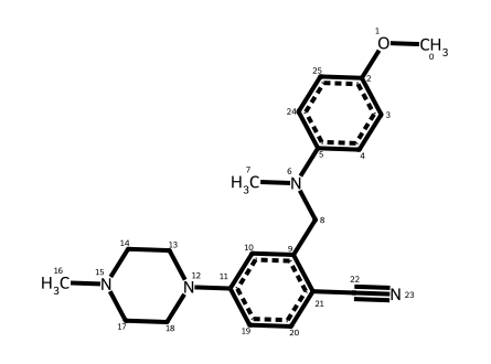 COc1ccc(N(C)Cc2cc(N3CCN(C)CC3)ccc2C#N)cc1